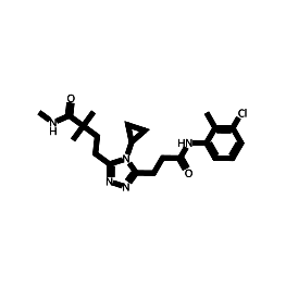 CNC(=O)C(C)(C)CCc1nnc(CCC(=O)Nc2cccc(Cl)c2C)n1C1CC1